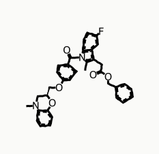 Cc1c(CC(=O)OCc2ccccc2)c2cc(F)ccc2n1C(=O)c1ccc(OC[C@@H]2CN(C)c3ccccc3O2)cc1